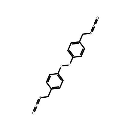 O=C=NCc1ccc(SSc2ccc(CN=C=O)cc2)cc1